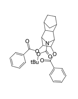 CC(C)(C)OC(=O)N1C2C(OC(=O)c3ccccc3)C(OC(=O)c3ccccc3)C1C1C3CCC(C3)C12